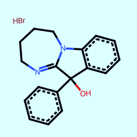 Br.OC1(c2ccccc2)C2=NCCCCN2c2ccccc21